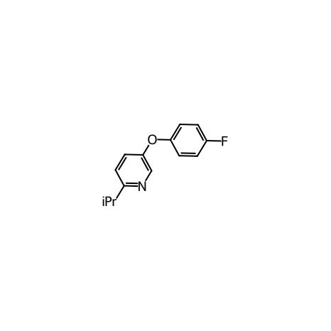 CC(C)c1ccc(Oc2ccc(F)cc2)cn1